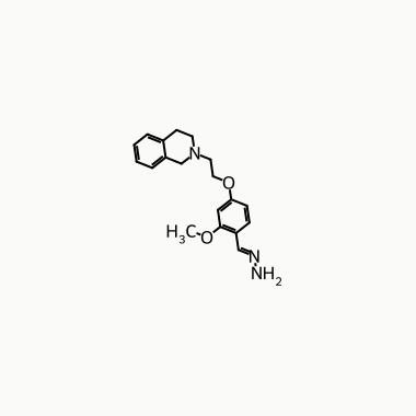 COc1cc(OCCN2CCc3ccccc3C2)ccc1C=NN